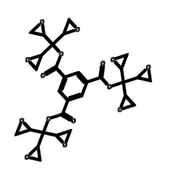 O=C(OC(C1CO1)(C1CO1)C1CO1)c1cc(C(=O)OC(C2CO2)(C2CO2)C2CO2)cc(C(=O)OC(C2CO2)(C2CO2)C2CO2)c1